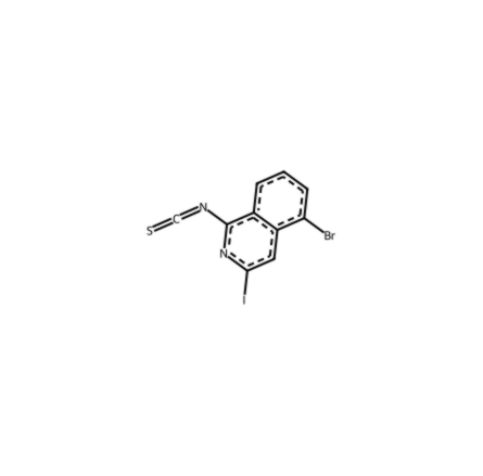 S=C=Nc1nc(I)cc2c(Br)cccc12